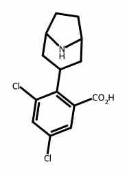 O=C(O)c1cc(Cl)cc(Cl)c1C1CC2CCC(C1)N2